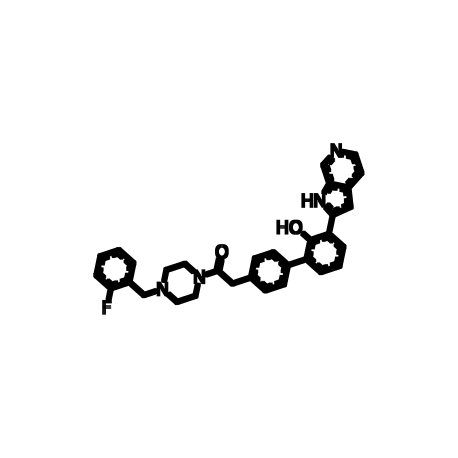 O=C(Cc1ccc(-c2cccc(-c3cc4ccncc4[nH]3)c2O)cc1)N1CCN(Cc2ccccc2F)CC1